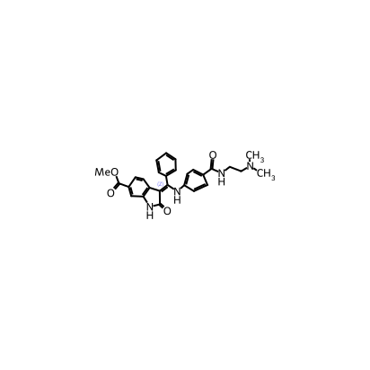 COC(=O)c1ccc2c(c1)NC(=O)/C2=C(\Nc1ccc(C(=O)NCCN(C)C)cc1)c1ccccc1